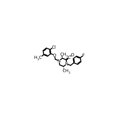 Cc1ccc(Cl)c(OCN2C[C@@H](C)N(Cc3ccc(F)cc3)C(=C=O)[C@@H]2C)c1